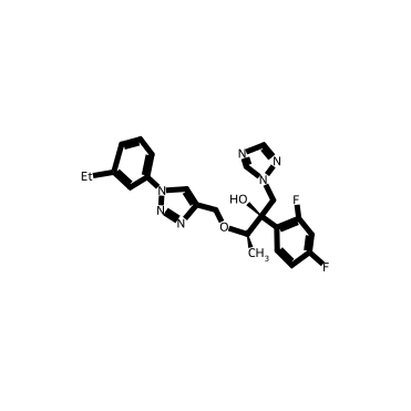 CCc1cccc(-n2cc(CO[C@H](C)[C@](O)(Cn3cncn3)c3ccc(F)cc3F)nn2)c1